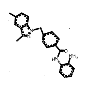 Cc1ccc2c(c1)c(C)nn2Cc1ccc(C(=O)Nc2ccccc2N)cc1